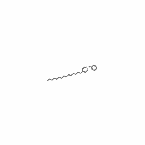 CCCCCCCCCCCCCCCc1cc[n+](Cc2ccccc2)cc1